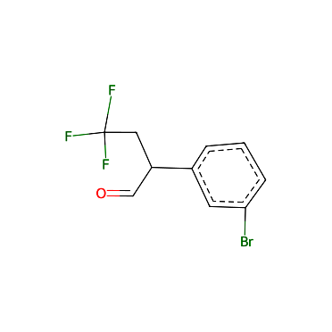 O=CC(CC(F)(F)F)c1cccc(Br)c1